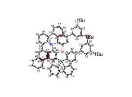 CC(C)(C)c1cc(-c2ccc3c(c2)B2c4cc(-c5cc(C(C)(C)C)cc(C(C)(C)C)c5)ccc4C(c4ccccc4)(c4ccccc4)c4cc(-c5ccccc5)cc(c42)N3c2c(-c3ccccc3)cccc2-c2ccccc2)cc(C(C)(C)C)c1